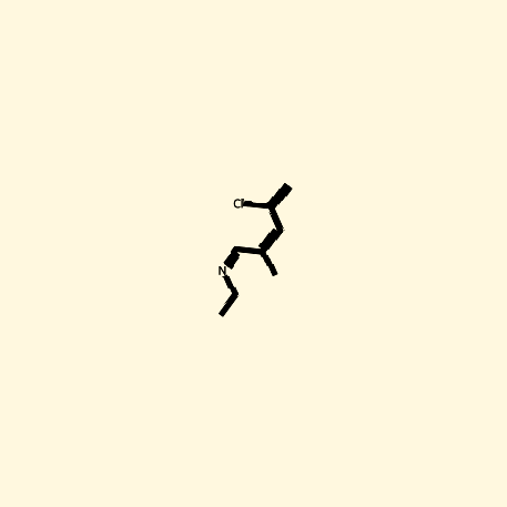 C=C(Cl)/C=C(C)\C=N/CC